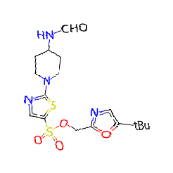 CC(C)(C)c1cnc(COS(=O)(=O)c2cnc(N3CCC(NC=O)CC3)s2)o1